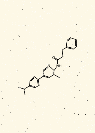 Cc1cc(-c2ccc(N(C)C)cc2)cnc1NC(=O)CCc1ccccc1